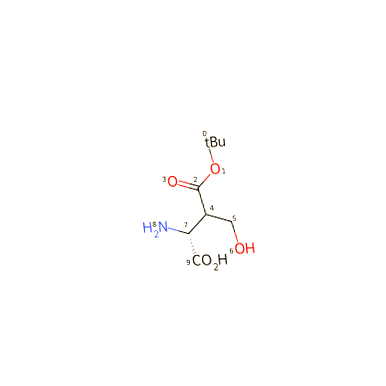 CC(C)(C)OC(=O)C(CO)[C@@H](N)C(=O)O